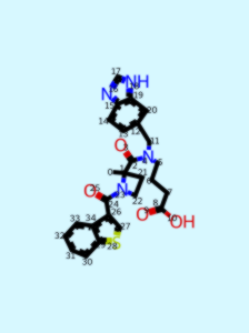 CC1(C(=O)N(CCCC(=O)O)Cc2ccc3nc[nH]c3c2)CCN1C(=O)c1csc2ccccc12